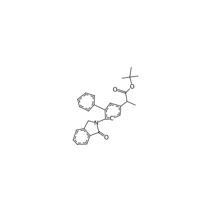 CC(C(=O)OC(C)(C)C)c1ccc(N2Cc3ccccc3C2=O)c(-c2ccccc2)c1